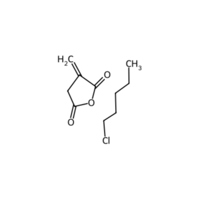 C=C1CC(=O)OC1=O.CCCCCCl